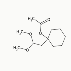 COC(CC1(OC(C)=O)CCCCC1)OC